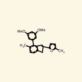 COc1cc(OC)cc(-c2c(C)ccc3c2C=C(c2ccc(C)o2)C3)c1